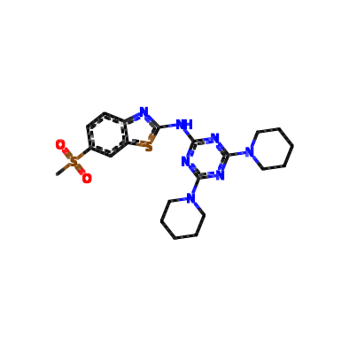 CS(=O)(=O)c1ccc2nc(Nc3nc(N4CCCCC4)nc(N4CCCCC4)n3)sc2c1